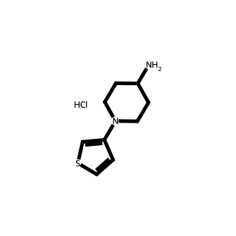 Cl.NC1CCN(c2ccsc2)CC1